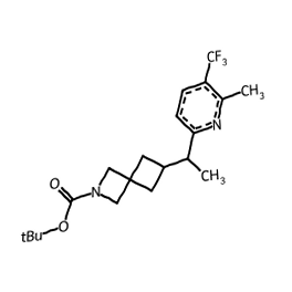 Cc1nc(C(C)C2CC3(C2)CN(C(=O)OC(C)(C)C)C3)ccc1C(F)(F)F